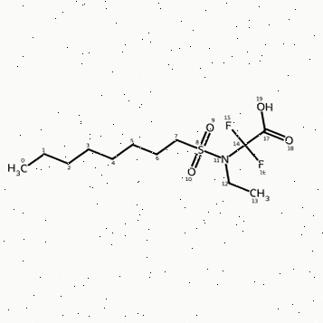 CCCCCCCCS(=O)(=O)N(CC)C(F)(F)C(=O)O